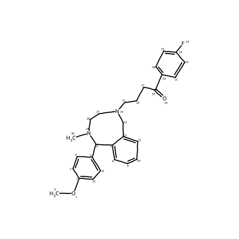 COc1ccc(C2c3ccccc3CN(CCCC(=O)c3ccc(F)cc3)CCN2C)cc1